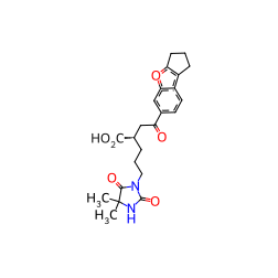 CC1(C)NC(=O)N(CCC[C@H](CC(=O)c2ccc3c4c(oc3c2)CCC4)C(=O)O)C1=O